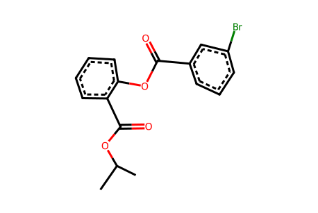 CC(C)OC(=O)c1ccccc1OC(=O)c1cccc(Br)c1